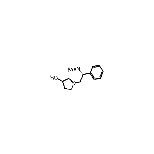 CN[C@@H](CN1CCC(O)C1)c1ccccc1